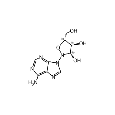 Nc1ncnc2c1ncn2N1O[C@H](CO)[C@@H](O)[C@H]1O